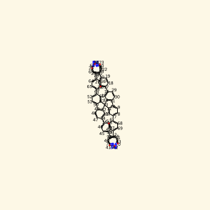 c1cc(-c2ccc(-c3ccc4c(c3)C3(c5cc(-c6ccc(-c7ccncc7)cc6)ccc5-4)c4cc(-c5ccc(-c6ccncc6)cc5)ccc4-c4ccc(-c5ccc(-c6ccncc6)cc5)cc43)cc2)ccn1